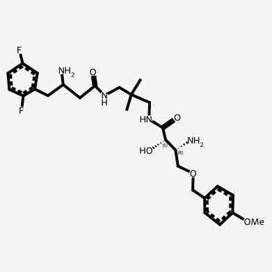 COc1ccc(COC[C@@H](N)[C@H](O)C(=O)NCC(C)(C)CNC(=O)CC(N)Cc2cc(F)ccc2F)cc1